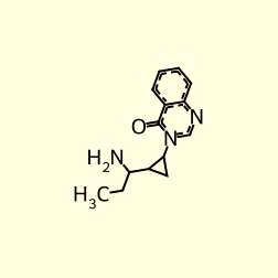 CCC(N)C1CC1n1cnc2ccccc2c1=O